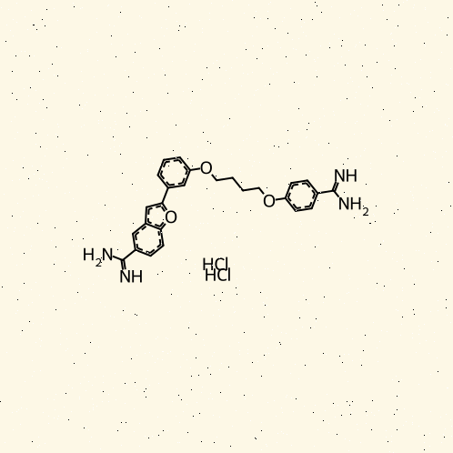 Cl.Cl.N=C(N)c1ccc(OCCCCOc2cccc(-c3cc4cc(C(=N)N)ccc4o3)c2)cc1